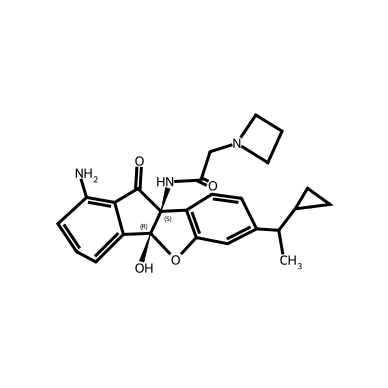 CC(c1ccc2c(c1)O[C@]1(O)c3cccc(N)c3C(=O)[C@]21NC(=O)CN1CCC1)C1CC1